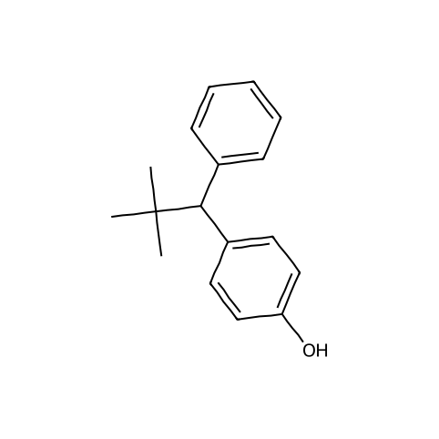 CC(C)(C)C(c1ccccc1)c1ccc(O)cc1